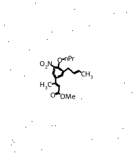 C/C=C/Cc1cc(/C(C)=C/C(=O)OC)cc([N+](=O)[O-])c1OCCC